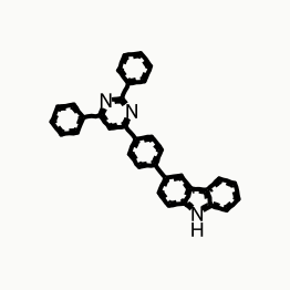 c1ccc(-c2cc(-c3ccc(-c4ccc5[nH]c6ccccc6c5c4)cc3)nc(-c3ccccc3)n2)cc1